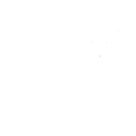 CC1=C(CC(=O)NC[C@H]2CC[C@@H](Nc3nc(N(C)C)c4ccccc4n3)CC2)c2cc(F)ccc2/C1=C/c1ccc([S+](C)[O-])cc1